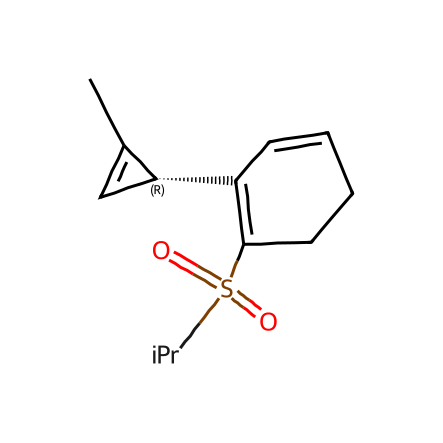 CC1=C[C@H]1C1=C(S(=O)(=O)C(C)C)CCC=C1